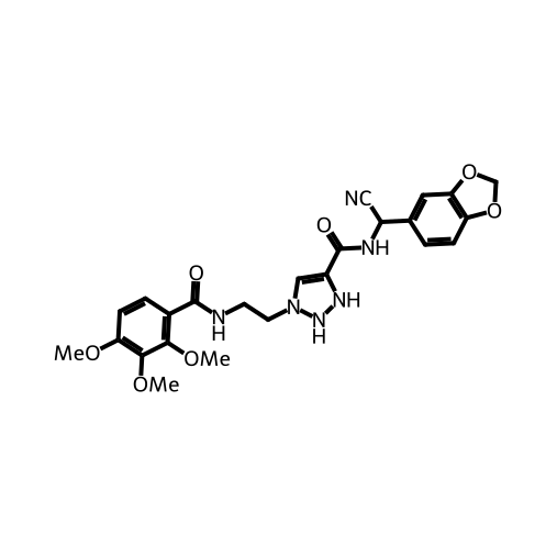 COc1ccc(C(=O)NCCN2C=C(C(=O)NC(C#N)c3ccc4c(c3)OCO4)NN2)c(OC)c1OC